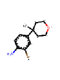 N#CC1(c2ccc(N)c(Br)c2)CCOCC1